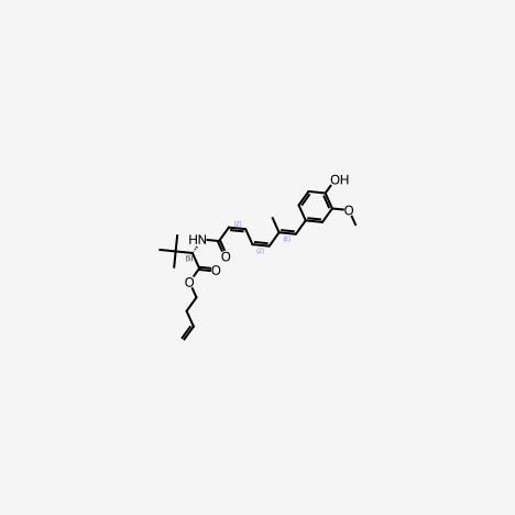 C=CCCOC(=O)[C@@H](NC(=O)\C=C/C=C\C(C)=C\c1ccc(O)c(OC)c1)C(C)(C)C